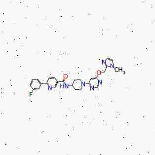 Cn1ccnc1COc1cc(N2CCC(NC(=O)c3ccc(-c4cccc(F)c4)nc3)CC2)ncn1